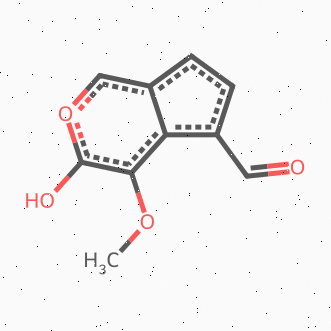 COc1c(O)occ2ccc(C=O)c1-2